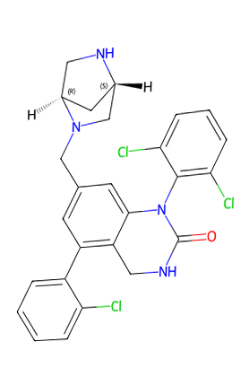 O=C1NCc2c(-c3ccccc3Cl)cc(CN3C[C@@H]4C[C@@H]3CN4)cc2N1c1c(Cl)cccc1Cl